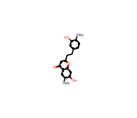 COc1ccc(CCc2cc(=O)c3cc(OC)c(O)cc3o2)cc1O